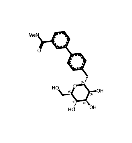 CNC(=O)c1cccc(-c2ccc(C[C@H]3O[C@H](CO)[C@@H](O)[C@H](O)[C@@H]3O)cc2)c1